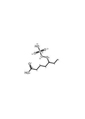 CCC(CCCC(=O)O)OOS(=O)(=O)O